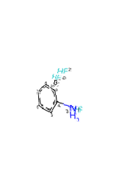 F.F.F.Nc1ccccc1.[B]